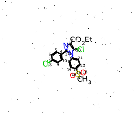 CCOC(=O)c1nc(-c2ccc(Cl)cc2)n(-c2ccc(S(C)(=O)=O)cc2)c1Cl